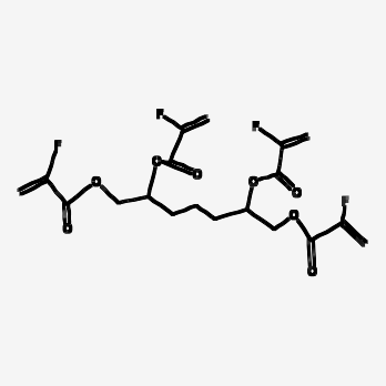 C=C(F)C(=O)OCC(CCCC(COC(=O)C(=C)F)OC(=O)C(=C)F)OC(=O)C(=C)F